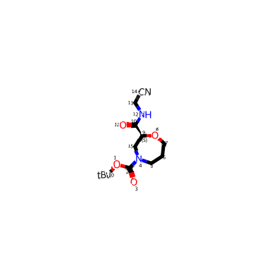 CC(C)(C)OC(=O)N1CCCO[C@H](C(=O)NCC#N)C1